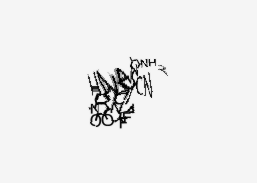 CC1CC(N)CN(c2nc(Nc3ccc4c(c3)c3c(c(=O)n4C)OCC(F)(F)[C@H](C4CC4)N3)c(Cl)cc2C#N)C1